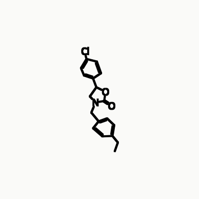 CCc1ccc(CN2CC(c3ccc(Cl)cc3)OC2=O)cc1